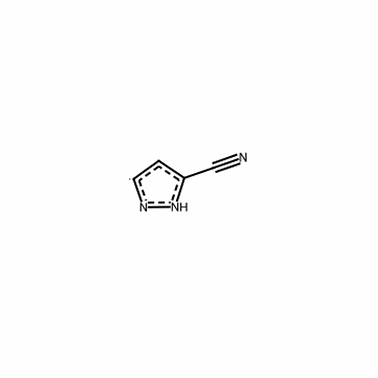 N#Cc1c[c]n[nH]1